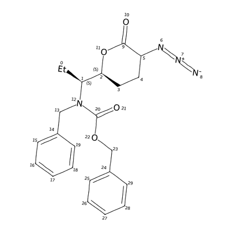 CC[C@@H]([C@@H]1CCC(N=[N+]=[N-])C(=O)O1)N(Cc1ccccc1)C(=O)OCc1ccccc1